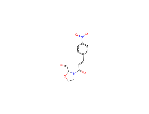 O=CC1OCCN1C(=O)C=Cc1ccc([N+](=O)[O-])cc1